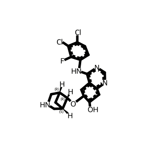 Oc1cc2ncnc(Nc3ccc(Cl)c(Cl)c3F)c2cc1O[C@@H]1[C@@H]2CNC[C@H]1C2